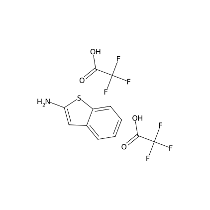 Nc1cc2ccccc2s1.O=C(O)C(F)(F)F.O=C(O)C(F)(F)F